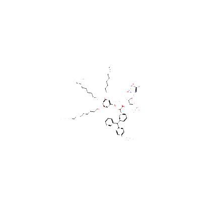 CCCCCCCCCCCCCCCCCCOc1cc(C(=O)OC(C(=O)O[C@H]2[C@@H](O)[C@H](n3cc(C)c(=O)[nH]c3=O)O[C@@H]2CO)c2cc(C(c3ccccc3)c3ccc(OC)cc3)ccc2OC)cc(OCCCCCCCCCCCCCCCCCC)c1OCCCCCCCCCCCCCCCCCC